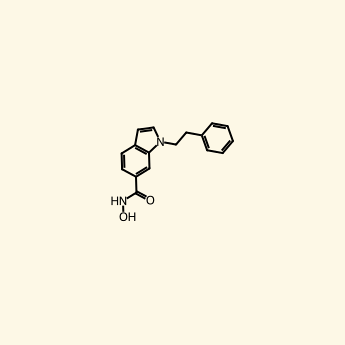 O=C(NO)c1ccc2ccn(CCc3ccccc3)c2c1